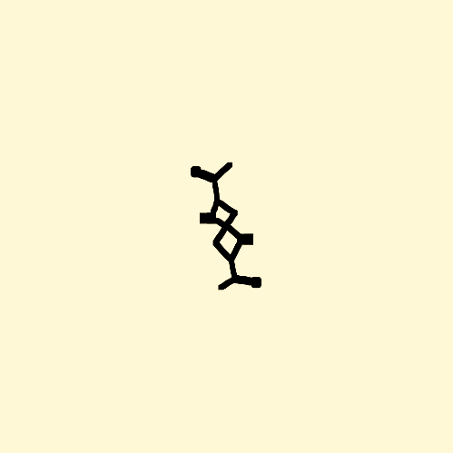 CC(=O)C1CC2(CC(C(C)=O)N2)N1